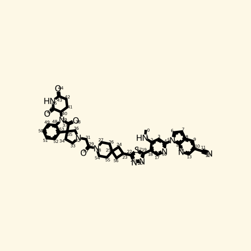 CNc1cc(-n2ccc3cc(C#N)cnc32)ncc1-c1nnc(C2CC3(CCN(C(=O)CN4CCC5(C4)C(=O)N(C4CCC(=O)NC4=O)c4ccccc45)CC3)C2)s1